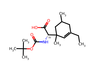 CCC1=CC(C)([C@H](NC(=O)OC(C)(C)C)C(=O)O)CC(C)C1